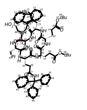 CC(C)C[C@H](NC(=O)OCC1c2ccccc2-c2ccccc21)C(=O)N[C@@H](CCC(=O)NC(c1ccccc1)(c1ccccc1)c1ccccc1)C(=O)N[C@@H](CCC(=O)OC(C)(C)C)C(=O)N[C@@H](CCC(=O)OC(C)(C)C)C(=O)N[C@@H](CC(=O)OC(C)(C)C)C(=O)N[C@@H](C)C(=O)NCC(=O)O